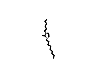 CCCCCCCCCN1C=CN(CCCCCC)C1C